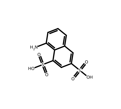 Nc1cccc2cc(S(=O)(=O)O)cc(S(=O)(=O)O)c12